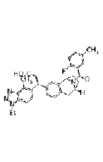 CCn1nnc2c(C)c([C@@H](CC(=O)O)c3ccc4c(c3)C3CC[C@H](C4)N3C(=O)c3cc(C)ccc3F)ccc21